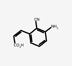 N#Cc1c(N)cccc1/C=C\C(=O)O